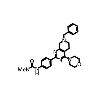 CNC(=O)Nc1ccc(-c2nc3c(c(N4CCOCC4)n2)CCN(Cc2ccccc2)C3)cc1